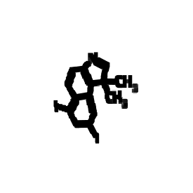 CC1(C)C=Nc2ccc3c(I)cc(I)cc3c21